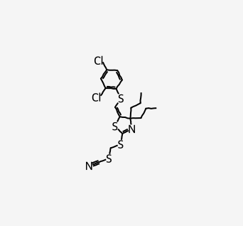 CCCC1(CCC)N=C(SCSC#N)S/C1=C/Sc1ccc(Cl)cc1Cl